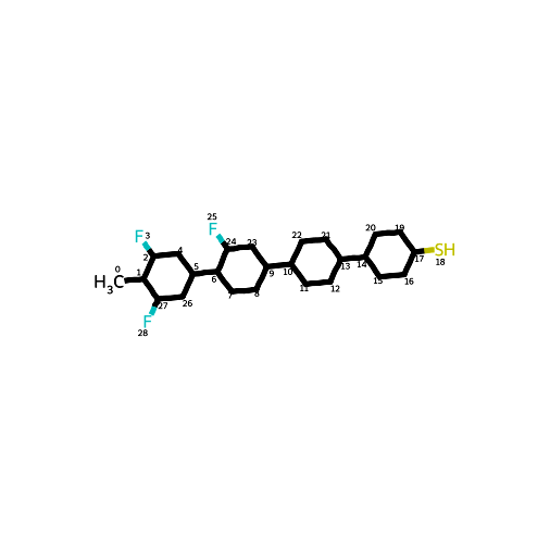 CC1C(F)CC(C2CCC(C3CCC(C4CCC(S)CC4)CC3)CC2F)CC1F